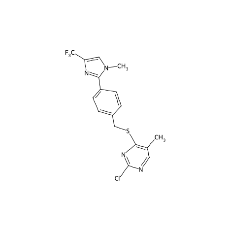 Cc1cnc(Cl)nc1SCc1ccc(-c2nc(C(F)(F)F)cn2C)cc1